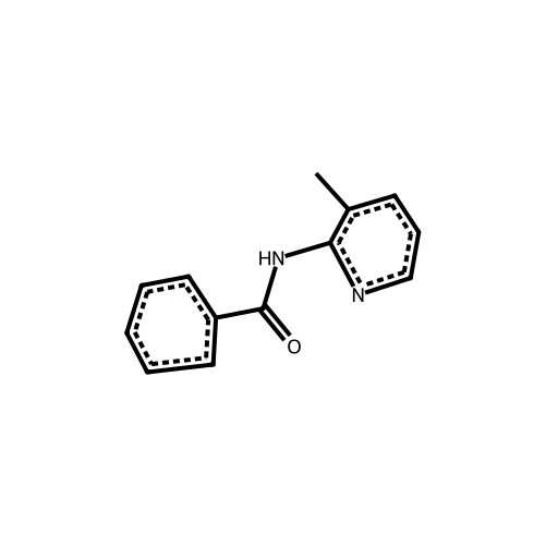 Cc1cccnc1NC(=O)c1ccccc1